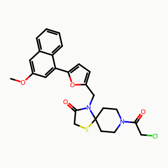 COc1cc(-c2ccc(CN3C(=O)CSC34CCN(C(=O)CCl)CC4)o2)c2ccccc2c1